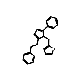 C1=C(CCc2ccccc2)C(Cc2ccco2)C(c2ccccc2)=C1